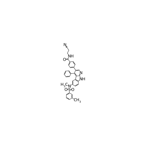 Cc1cccc(S(=O)(=O)N(C)c2ccc3[nH]c4ncc(-c5ccc(C(=O)NCCC#N)cc5)c(-c5ccccc5)c4c3c2)c1